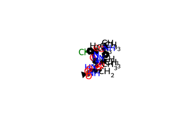 C=C[C@@H]1C[C@]1(NC(=O)[C@@H]1C[C@@H](Oc2ncc(OC)c3ccc(Cl)cc23)CN1C(=O)[C@@H](Nc1cccc(C(=O)NC(C)(C)C)c1)C(C)(C)C)C(=O)NS(=O)(=O)C1CC1